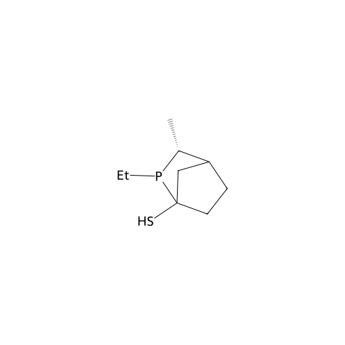 CCP1[C@H](C)C2CCC1(S)C2